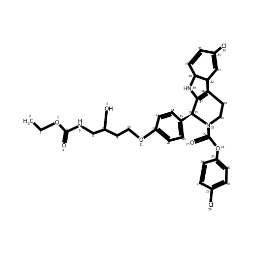 CCOC(=O)NCC(O)CCOc1ccc([C@H]2C3=C(CCN2C(=O)Oc2ccc(Cl)cc2)C2C=C(Cl)C=CC2N3)cc1